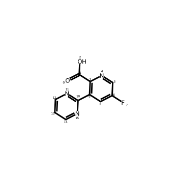 O=C(O)c1ncc(F)cc1-c1ncccn1